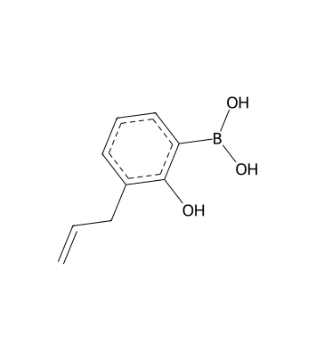 C=CCc1cccc(B(O)O)c1O